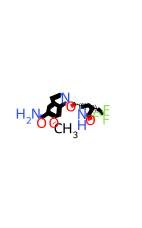 COc1cc2c(OC[C@@H]3C[C@H](CC(F)(F)F)C(=O)N3)nccc2cc1C(N)=O